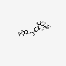 CC(C)(O)c1cc(C(=O)N2CCCN(C(=O)/C=C/c3ccc4c(c3)OC(F)(F)O4)CC2)ncn1